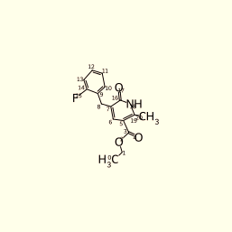 CCOC(=O)c1cc(Cc2ccccc2F)c(=O)[nH]c1C